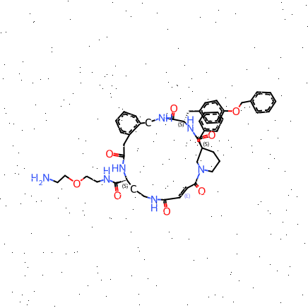 NCCOCCNC(=O)[C@@H]1CCNC(=O)/C=C/C(=O)N2CCC[C@](Cc3ccccc3)(C2)C(=O)N[C@@H](Cc2ccc(OCc3ccccc3)cc2)C(=O)NCc2ccccc2CC(=O)N1